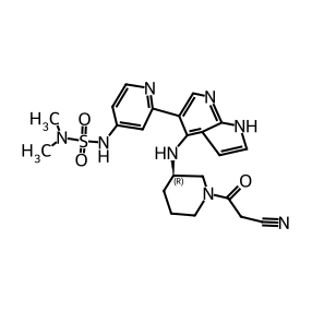 CN(C)S(=O)(=O)Nc1ccnc(-c2cnc3[nH]ccc3c2N[C@@H]2CCCN(C(=O)CC#N)C2)c1